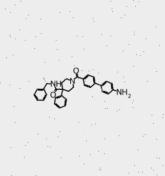 C[C@H](NC(=O)C1(c2ccccc2)CCN(C(=O)c2ccc(-c3ccc(N)cc3)cc2)CC1)c1ccccc1